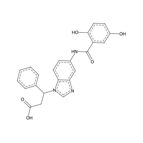 O=C(O)CC(c1ccccc1)n1cnc2cc(NC(=O)c3cc(O)ccc3O)ccc21